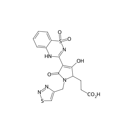 O=C(O)CCC1C(O)=C(C2=NS(=O)(=O)c3ccccc3N2)C(=O)N1Cc1csnn1